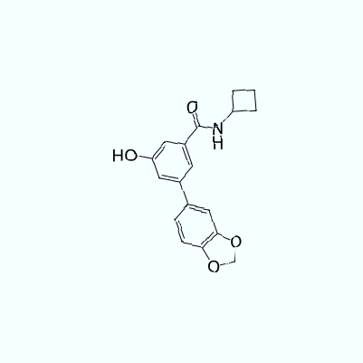 O=C(NC1CCC1)c1cc(O)cc(-c2ccc3c(c2)OCO3)c1